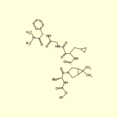 CC(C)OC(=O)N[C@H](C(=O)N1CC2C([C@H]1C(=O)NC(CC1CC1)C(=O)C(=O)NCC(=O)N[C@H](C(=O)N(C)C)c1ccccc1)C2(C)C)C(C)(C)C